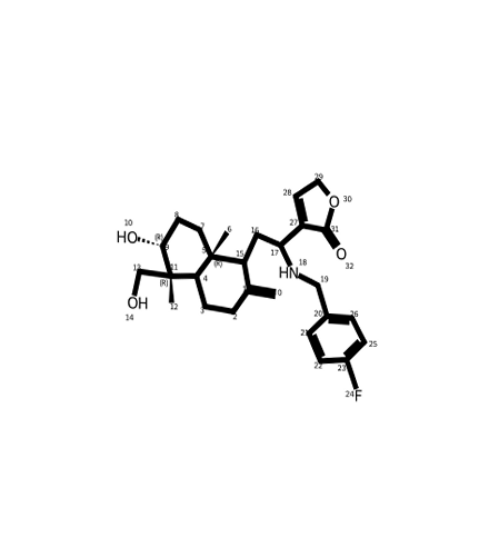 C=C1CCC2[C@](C)(CC[C@@H](O)[C@@]2(C)CO)C1CC(NCc1ccc(F)cc1)C1=CCOC1=O